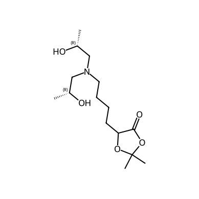 C[C@@H](O)CN(CCCCC1OC(C)(C)OC1=O)C[C@@H](C)O